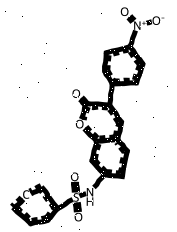 O=c1oc2cc(NS(=O)(=O)c3ccccc3)ccc2cc1-c1ccc([N+](=O)[O-])cc1